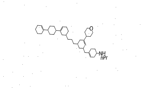 CCCNC1CC=C(CC2C=C(C3CCOCC3)CC(CCCC3CCC=C(C4CCC(C5=CCCCC5)CC4)C3)C2)CC1